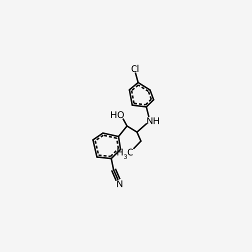 CCC(Nc1ccc(Cl)cc1)C(O)c1cccc(C#N)c1